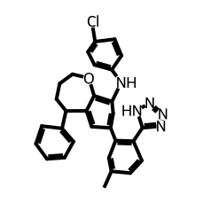 Cc1ccc(-c2nnn[nH]2)c(-c2cc(Nc3ccc(Cl)cc3)c3c(c2)C(c2ccccc2)CCCO3)c1